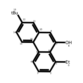 CCc1cccc2c1c(O)cc1cc(C(C)(C)C)ccc12